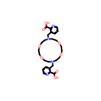 O=C(O)c1ncccc1CN1CCOCCOCCN(Cc2cccnc2C(=O)O)CCOCCOCC1